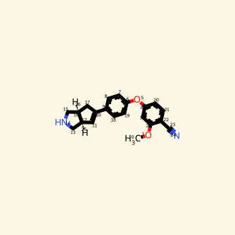 COc1cc(Oc2ccc(C3=C[C@H]4CNC[C@H]4C3)cc2)ccc1C#N